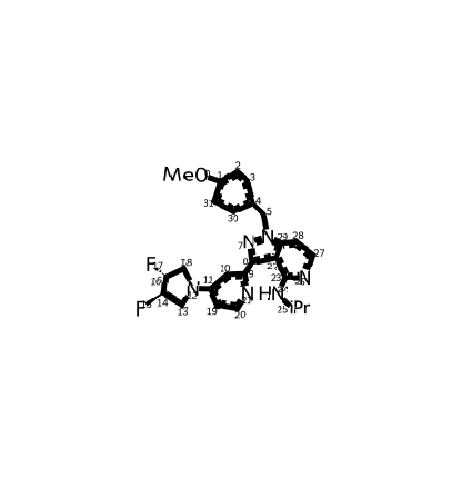 COc1ccc(Cn2nc(-c3cc(N4C[C@@H](F)[C@H](F)C4)ccn3)c3c(NC(C)C)nccc32)cc1